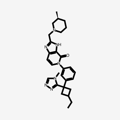 CCC1CC(c2cccc(-n3ccc4nc(CN5CCC[C@H](C)C5)[nH]c4c3=O)c2)(c2nncn2C)C1